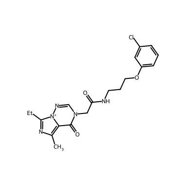 CCC1=NC(C)=C2C(=O)N(CC(=O)NCCCOc3cccc(Cl)c3)C=N[N+]12